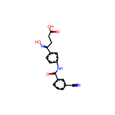 N#Cc1cccc(C(=O)Nc2ccc(C(CCC(=O)O)=NO)cc2)c1